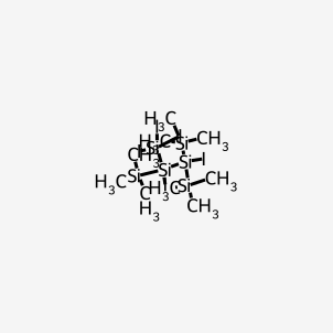 C[Si](C)(C)[Si](I)([Si](C)(C)C)[Si](I)([Si](C)(C)C)[Si](I)(I)I